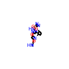 CNCCOc1ccc(Oc2cc(-c3c(C)cccc3C)nc(NS(=O)(=O)c3cnn(C)c3)n2)cn1